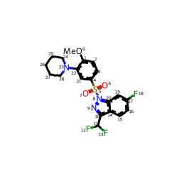 COc1ccc(S(=O)(=O)n2nc(C(F)F)c3ccc(F)cc32)cc1N1CCCCC1